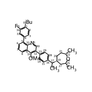 CCC(C)c1ccc(-c2cccc3c(OC)c(-c4ccc(C(C)[C@H]5CC[C@@H](C)OC(C)C5)cc4)cnc23)cc1F